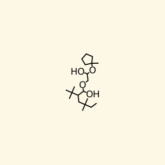 CCC(C)(C)CC(C(O)OCC(O)OC1(C)CCCC1)C(C)(C)C